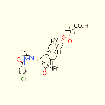 CC(C)C1=C2[C@H]3CC[C@@H]4[C@@]5(C)CC[C@H](OC(=O)[C@H]6C[C@@H](C(=O)O)C6(C)C)C(C)(C)[C@@H]5CC[C@@]4(C)[C@]3(C)CC[C@@]2(CCNCC2(NC(=O)c3ccc(Cl)cc3)CCC2)CC1=O